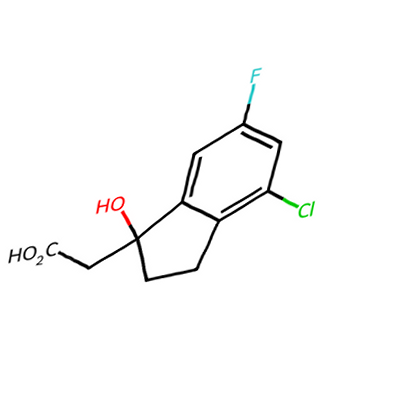 O=C(O)CC1(O)CCc2c(Cl)cc(F)cc21